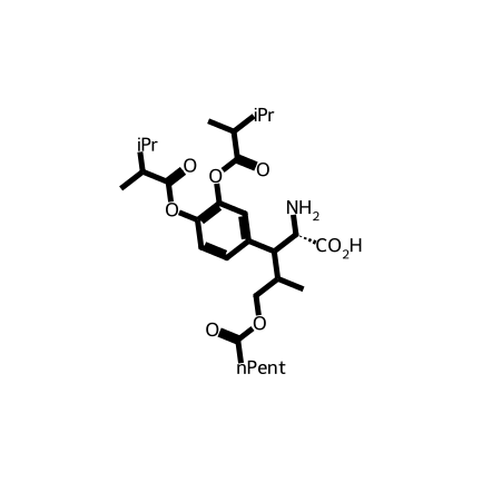 CCCCCC(=O)OCC(C)C(c1ccc(OC(=O)C(C)C(C)C)c(OC(=O)C(C)C(C)C)c1)[C@H](N)C(=O)O